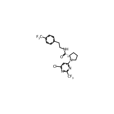 O=C(NCCc1ccc(C(F)(F)F)cc1)[C@@H]1CCCN1c1cc(Cl)nc(C(F)(F)F)n1